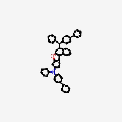 c1ccc(-c2ccc(C(c3ccccc3)c3cc4oc5cc(N(c6ccccc6)c6ccc(-c7ccccc7)cc6)ccc5c4c4ccccc34)cc2)cc1